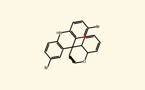 Brc1ccc2c(c1)C1(c3cc(Br)ccc3N2)c2ccccc2OC2C=CC=CC21